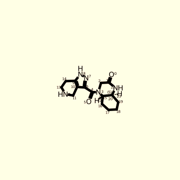 O=C1CN(C(=O)c2n[nH]c3c2CNCC3)[C@H]2CCCC[C@@H]2N1